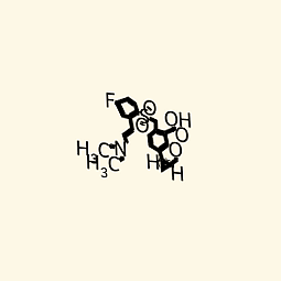 CCN(CC)CC=Cc1cc(F)ccc1S(=O)(=O)Cc1ccc2c(c1C(=O)O)OC[C@H]1C[C@@H]21